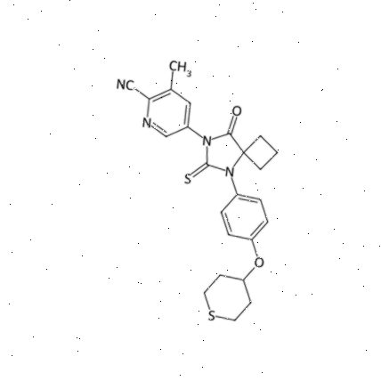 Cc1cc(N2C(=O)C3(CCC3)N(c3ccc(OC4CCSCC4)cc3)C2=S)cnc1C#N